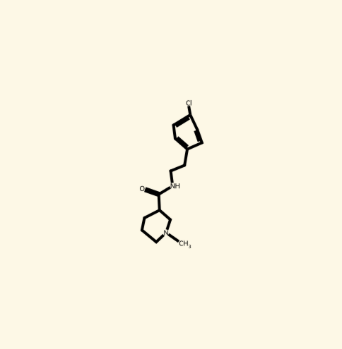 CN1CCCC(C(=O)NCCc2ccc(Cl)cc2)C1